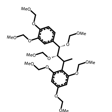 COCOc1cc(OCOC)c(C(C)[C@H](OCOC)[C@@H](OCOC)c2ccc(OCOC)c(OCOC)c2)c(OCOC)c1